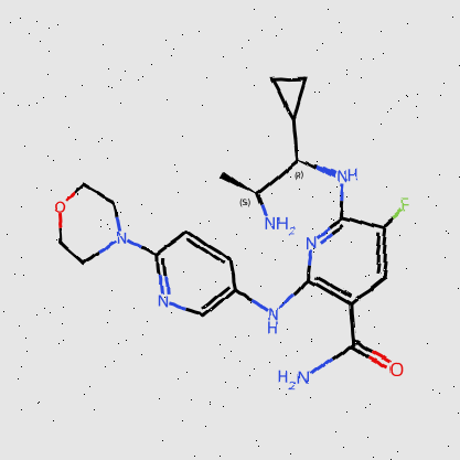 C[C@H](N)[C@H](Nc1nc(Nc2ccc(N3CCOCC3)nc2)c(C(N)=O)cc1F)C1CC1